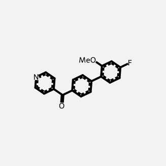 COc1cc(F)ccc1-c1ccc(C(=O)c2ccncc2)cc1